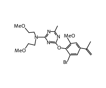 C=C(C)c1cc(Br)c(Oc2nc(C)nc(N(CCOC)CCOC)n2)c(OC)c1